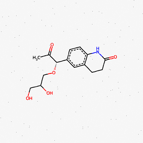 CC(=O)[C@@H](OCC(O)CO)c1ccc2c(c1)CCC(=O)N2